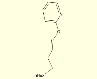 CCCCCCCC/C=C/Oc1ccccn1